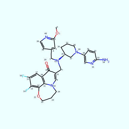 COc1cc(CN(Cc2cn3c4c(c(F)c(F)cc4c2=O)OCCC3)[C@H]2CCCN(c3ccc(N)nc3)C2)ccn1